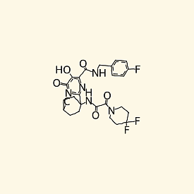 O=C(NC12CCC(CC1)Cn1c2nc(C(=O)NCc2ccc(F)cc2)c(O)c1=O)C(=O)N1CCC(F)(F)CC1